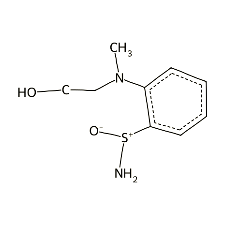 CN(CCO)c1ccccc1[S+](N)[O-]